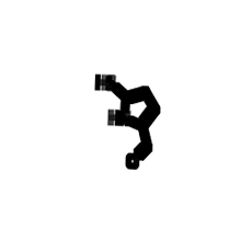 O=Cc1ccc(S)[nH]1